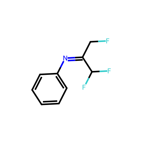 FCC(=Nc1ccccc1)C(F)F